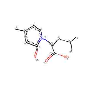 Cc1ccn(C(CC(C)C)C(=O)O)c(=O)c1